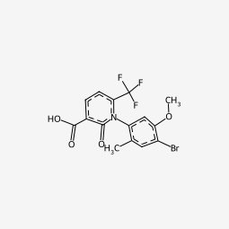 COc1cc(-n2c(C(F)(F)F)ccc(C(=O)O)c2=O)c(C)cc1Br